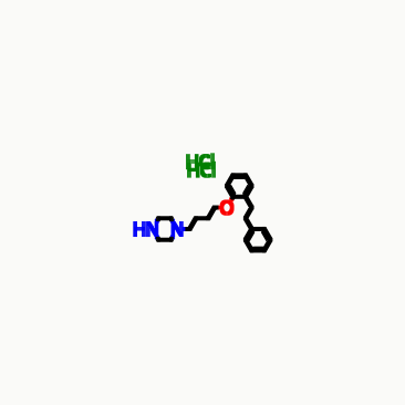 Cl.Cl.c1ccc(CCc2ccccc2OCCCCN2CCNCC2)cc1